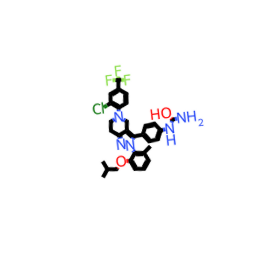 Cc1cccc(OCC(C)C)c1-n1nc2c(c1-c1ccc(NC(N)O)cc1)CN(c1ccc(C(F)(F)F)cc1Cl)CC2